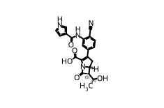 C[C@@H](O)[C@H]1C(=O)N2C(C(=O)O)=C(c3ccc(C#N)c(NC(=O)c4cc[nH]c4)c3)C[C@H]12